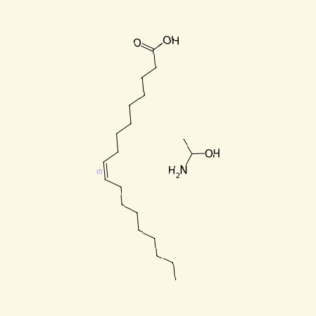 CC(N)O.CCCCCCCC/C=C\CCCCCCCC(=O)O